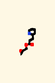 O=C(C=Cc1ccccn1)OCC1CO1